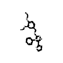 CCOc1ccc(CSc2nnc(-c3ccco3)n2-c2ccccc2)cc1OCC